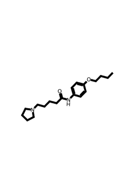 CCCCOc1ccc(NC(=O)CCCCN2CCCC2)cc1